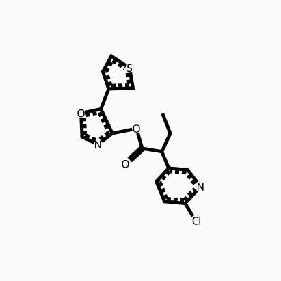 CCC(C(=O)Oc1ncoc1-c1ccsc1)c1ccc(Cl)nc1